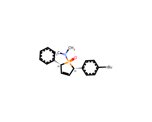 CCCCc1ccc([C@@H]2C=C[C@H](c3ccccc3)P2(=O)N(C)C)cc1